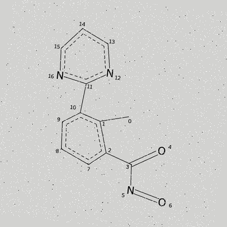 Cc1c(C(=O)N=O)cccc1-c1ncccn1